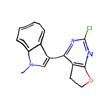 Cn1cc(-c2nc(Cl)nc3c2CCO3)c2ccccc21